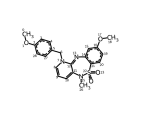 COc1ccc(CN2C=CC=C3C2=Nc2cc(OC)ccc2S(=O)(=O)N3C)cc1